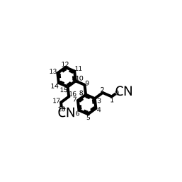 N#CCCc1ccccc1Cc1ccccc1CCC#N